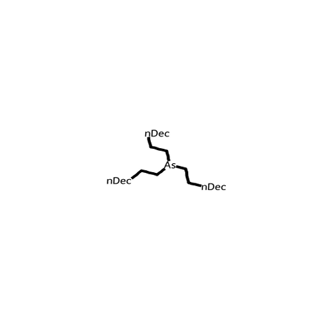 CCCCCCCCCCCC[As](CCCCCCCCCCCC)CCCCCCCCCCCC